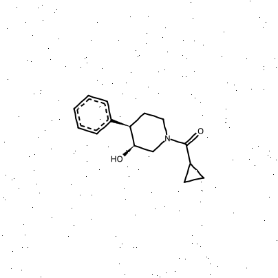 O=C(C1CC1)N1CC[C@H](c2ccccc2)[C@H](O)C1